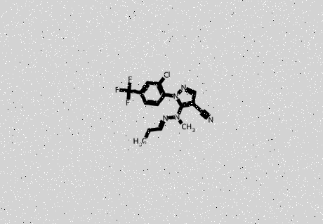 CCC=NN(C)c1c(C#N)cnn1-c1ccc(C(F)(F)F)cc1Cl